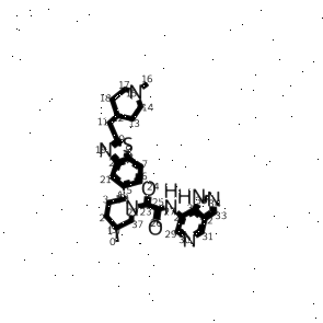 C[C@H]1CC[C@H](c2ccc3sc(CC4CCN(C)CC4)nc3c2)N(C(=O)C(=O)Nc2cncc3cn[nH]c23)C1